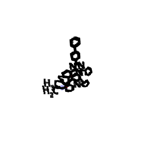 C=C/C=C\C1=C(C)Sc2ccc(-c3nc(-c4ccccc4)nc(-c4ccc(-c5ccccc5)cc4)n3)cc2C12c1ccccc1-n1c3ccccc3c3cccc2c31